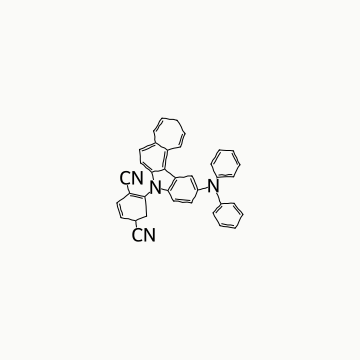 N#CC1=C(n2c3ccc(N(c4ccccc4)c4ccccc4)cc3c3c4c(ccc32)C=CCC=C4)CC(C#N)C=C1